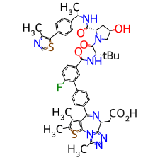 Cc1ncsc1-c1ccc([C@H](C)NC(=O)[C@@H]2C[C@@H](O)CN2C(=O)[C@@H](NC(=O)c2ccc(F)c(-c3ccc(C4=N[C@@H](CC(=O)O)c5nnc(C)n5-c5sc(C)c(C)c54)cc3)c2)C(C)(C)C)cc1